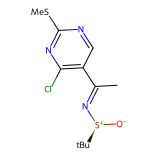 CSc1ncc(/C(C)=N/[S@@+]([O-])C(C)(C)C)c(Cl)n1